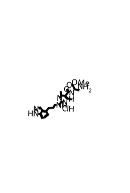 COC(=O)C(CN)NC(=O)c1c(C)nc(NCCCc2cccc3[nH]ncc23)nc1C.Cl